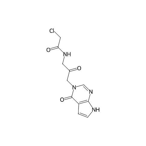 O=C(CNC(=O)CCl)Cn1cnc2[nH]ccc2c1=O